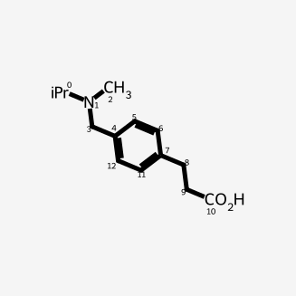 CC(C)N(C)Cc1ccc(CCC(=O)O)cc1